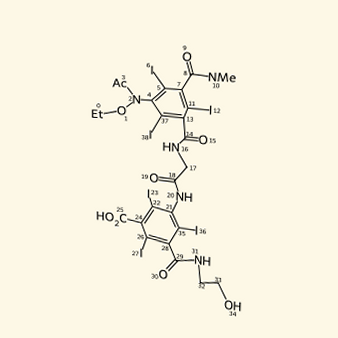 CCON(C(C)=O)c1c(I)c(C(=O)NC)c(I)c(C(=O)NCC(=O)Nc2c(I)c(C(=O)O)c(I)c(C(=O)NCCO)c2I)c1I